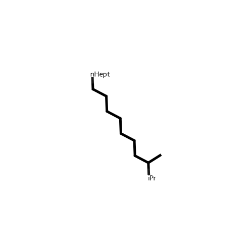 [CH2]C(C)C(C)CCCCCCCCCCCCCC